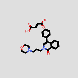 O=C(O)C=CC(=O)O.O=c1c2ccccc2c(-c2ccccc2)cn1CCCN1CCOCC1